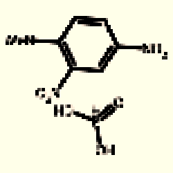 CNc1ccc([N+](=O)[O-])cc1[N+](=O)[O-].O=[PH](O)O